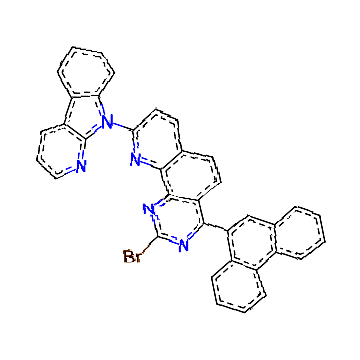 Brc1nc(-c2cc3ccccc3c3ccccc23)c2ccc3ccc(-n4c5ccccc5c5cccnc54)nc3c2n1